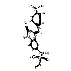 CCS(=O)(=O)Nc1ccc2c(c1)/C(=C/c1ccc([N+](=O)[O-])cc1)C(=O)N2